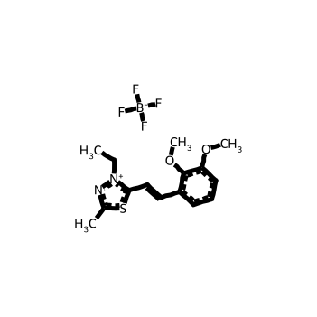 CC[n+]1nc(C)sc1C=Cc1cccc(OC)c1OC.F[B-](F)(F)F